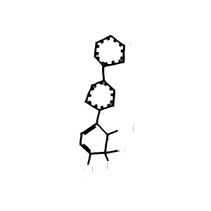 [2H]C1([2H])C(O)=CC=C(c2ccc(-c3ccccc3)cc2)C1O